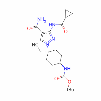 CC(C)(C)OC(=O)N[C@H]1CC[C@@](CC#N)(n2cc(C(N)=O)c(NC(=O)C3CC3)n2)CC1